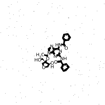 CC(O[C@@]1(CO)COC[C@H]1O)n1cnc2c(NC(=O)c3ccccc3)nc(NC(=O)c3ccccc3)nc21